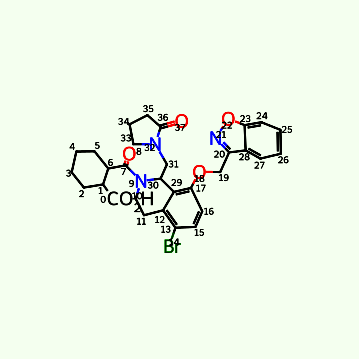 O=C(O)C1CCCCC1C(=O)N1CCc2c(Br)ccc(OCc3noc4ccccc34)c2C1CN1CCCC1=O